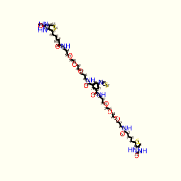 O=C(CCCCC1SCC2NC(=O)NC21)NCCCOCCOCCOCCCNC(=O)c1cc(N=C=S)cc(C(=O)NCCCOCCOCCOCCCNC(=O)CCCCC2SCC3NC(=O)NC32)c1